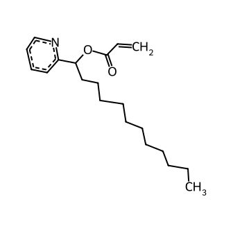 C=CC(=O)OC(CCCCCCCCCCC)c1ccccn1